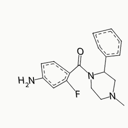 CN1CCN(C(=O)c2ccc(N)cc2F)C(c2ccccc2)C1